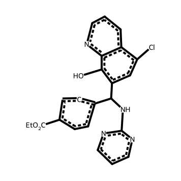 CCOC(=O)c1ccc(C(Nc2ncccn2)c2cc(Cl)c3cccnc3c2O)cc1